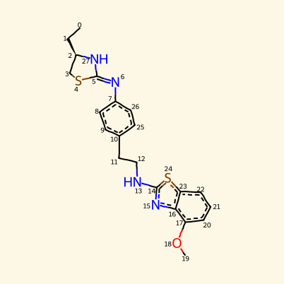 CC[C@@H]1CS/C(=N\c2ccc(CCNc3nc4c(OC)cccc4s3)cc2)N1